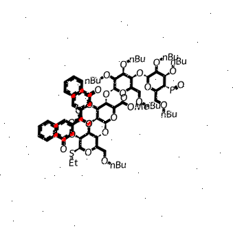 CCCCOCC1O[C@@H](SCC)[C@@H](OC(=O)c2ccccc2)C(OC(=O)c2ccccc2)[C@@H]1O[C@@H]1OC(C(=O)OC)[C@@H](O[C@H]2OC(COCCCC)[C@H](O[C@H]3OC(COCCCC)[C@@H](P=O)[C@H](OCCCC)C3OCCCC)[C@H](OCCCC)C2OCCCC)C(OC(=O)c2ccccc2)[C@@H]1OC(=O)c1ccccc1